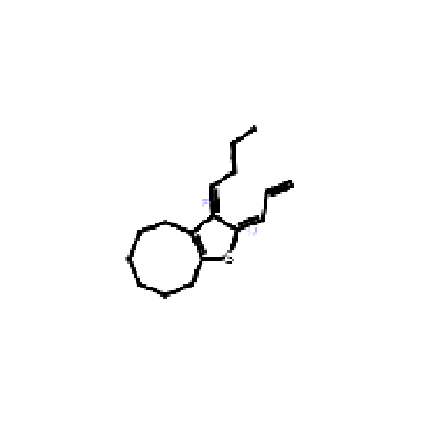 C=C/C=c1/sc2c(/c1=C/CCC)CCCCCC2